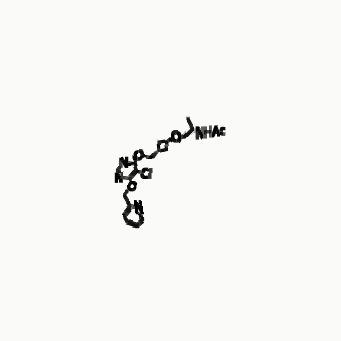 CC(=O)N[C@@H](C)CO[C@H]1C[C@@H](COc2ncnc(OCc3ccccn3)c2Cl)C1